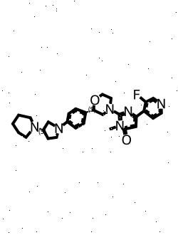 Cn1c(N2CCO[C@@H](c3ccc(N4CC[C@H](N5CCCCC5)C4)cc3)C2)nc(-c2ccncc2F)cc1=O